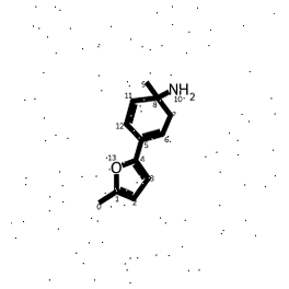 Cc1ccc(C2=CCC(C)(N)C=C2)o1